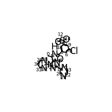 CC(NC(=O)c1cc(Cl)cc(S(C)(=O)=O)c1)c1nc(-c2cnccn2)nn1-c1ncccn1